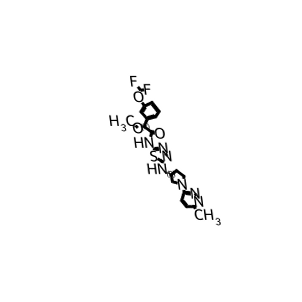 CO[C@@H](C(=O)Nc1nnc(N[C@@H]2CCN(c3ccc(C)nn3)C2)s1)c1cccc(OC(F)F)c1